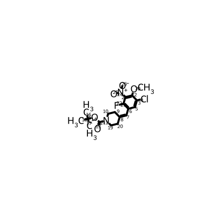 COc1c(Cl)cc(C=C2CCN(C(=O)OC(C)(C)C)CC2)c(F)c1[N+](=O)[O-]